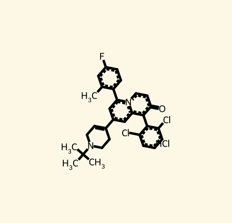 Cc1cc(F)ccc1-c1cc(C2=CCN(C(C)(C)C)CC2)cc2c(-c3c(Cl)cccc3Cl)c(=O)ccn12.Cl